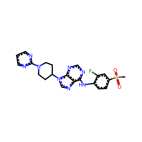 CS(=O)(=O)c1ccc(Nc2ncnc3c2ncn3C2CCN(c3ncccn3)CC2)c(F)c1